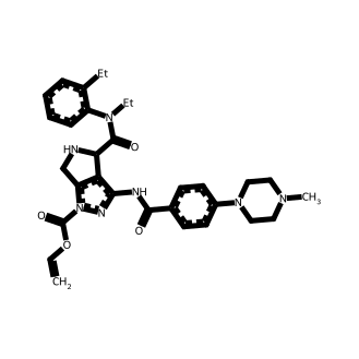 C=COC(=O)n1nc(NC(=O)c2ccc(N3CCN(C)CC3)cc2)c2c1CNC2C(=O)N(CC)c1ccccc1CC